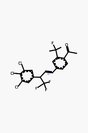 CC(=O)c1ccc(/C=C/C(c2cc(Cl)c(Cl)c(Cl)c2)C(F)(F)F)cc1C(C)(C)F